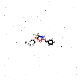 CCC(CC)OC(=O)[C@H](C)NC(=O)OCc1ccccc1